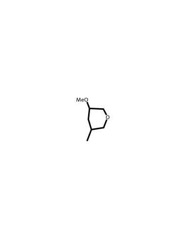 COC1COCC(C)C1